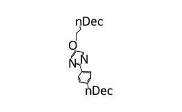 CCCCCCCCCCCCCOc1cnc(-c2ccc(CCCCCCCCCC)cc2)nc1